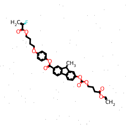 C=COC(=O)CCCOC(=O)Oc1ccc2c(c1)C(C)c1cc(C(=O)Oc3ccc(OCCCCOC(=O)C(=C)F)cc3)ccc1-2